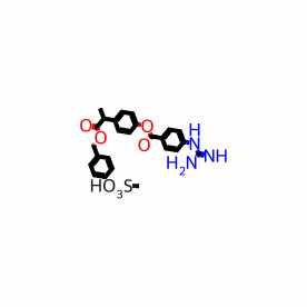 CC(C(=O)OCc1ccccc1)c1ccc(OC(=O)c2ccc(NC(=N)N)cc2)cc1.CS(=O)(=O)O